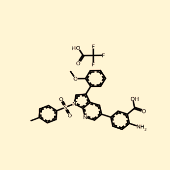 COc1ccccc1-c1cn(S(=O)(=O)c2ccc(C)cc2)c2ncc(-c3ccc(N)c(C(=O)O)c3)cc12.O=C(O)C(F)(F)F